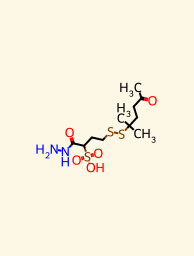 CC(=O)CCC(C)(C)SSCCC(C(=O)NN)S(=O)(=O)O